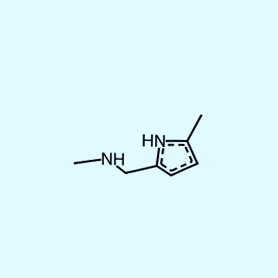 CNCc1ccc(C)[nH]1